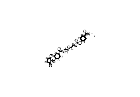 NC(=O)c1ccc(OC(=O)OCCOCCNC(=O)[C@H]2CC[C@H](CN3C(=O)CCC3=O)CC2)cc1